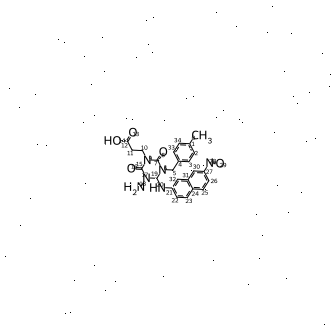 Cc1ccc(CN2C(=O)N(CCC(=O)O)C(=O)N(N)C2Nc2ccc3ccc(N=O)cc3c2)cc1